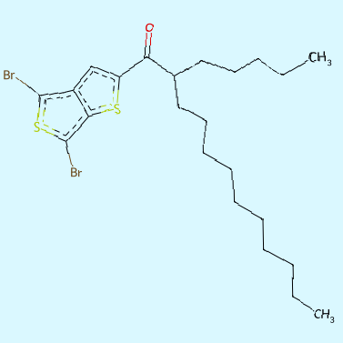 CCCCCCCCCCC(CCCCC)C(=O)c1cc2c(Br)sc(Br)c2s1